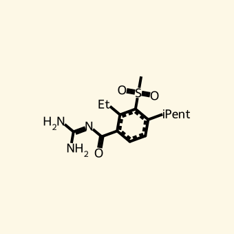 CCCC(C)c1ccc(C(=O)N=C(N)N)c(CC)c1S(C)(=O)=O